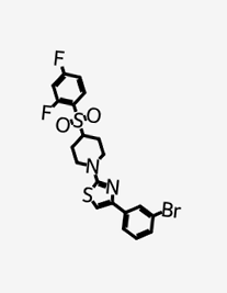 O=S(=O)(c1ccc(F)cc1F)C1CCN(c2nc(-c3cccc(Br)c3)cs2)CC1